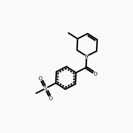 CC1C=CCN(C(=O)c2ccc(S(C)(=O)=O)cc2)C1